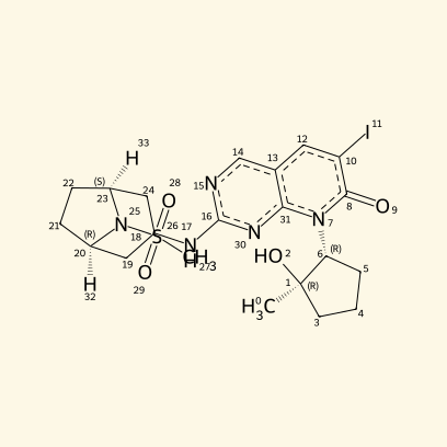 C[C@@]1(O)CCC[C@H]1n1c(=O)c(I)cc2cnc(NC3C[C@H]4CC[C@@H](C3)N4S(C)(=O)=O)nc21